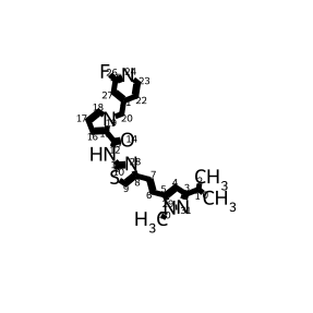 CC(C)c1cc(C=Cc2csc(NC(=O)c3cccn3Cc3ccnc(F)c3)n2)n(C)n1